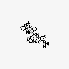 CCCC(NC(=O)[C@@H]1[C@H]2CCC(C)(C)[C@H]2CN1C(=O)[C@@H](NC(=O)NC1(CS(=O)(=O)C(C)(C)C)CCCCC1)C1CCCCC1)C(=O)C(=O)NC1CC1